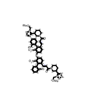 COCn1nnnc1C1CCCN(C(=O)/C=C/c2ccc(Sc3ccc(/C=C/C(=O)N4CCCC(c5nnnn5COC)C4)c(-c4ccccc4C(C)C)c3[N+](=O)[O-])c([N+](=O)[O-])c2-c2ccccc2C(C)C)C1